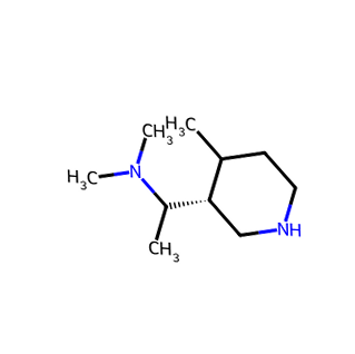 CC1CCNC[C@@H]1C(C)N(C)C